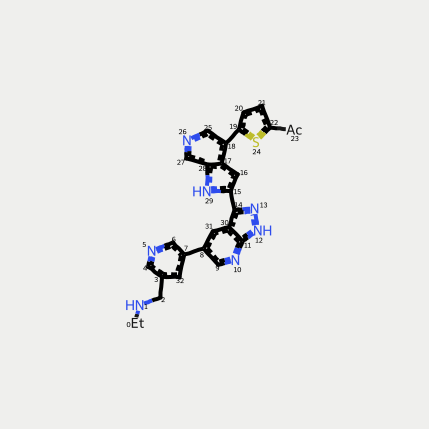 CCNCc1cncc(-c2cnc3[nH]nc(-c4cc5c(-c6ccc(C(C)=O)s6)cncc5[nH]4)c3c2)c1